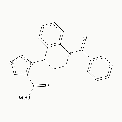 COC(=O)c1cncn1C1CCN(C(=O)c2ccccc2)c2ccccc21